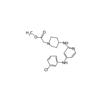 COC(=O)CN1CCC(Nc2cc(Nc3cccc(Cl)c3)ccn2)CC1